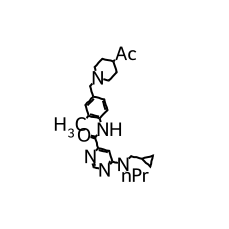 CCCN(CC1CC1)c1cc(C(=O)Nc2ccc(CN3CCC(C(C)=O)CC3)cc2C)ncn1